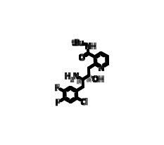 CC(C)(C)NC(=O)c1cccnc1C[C@H](O)[C@H](N)Cc1cc(F)c(F)cc1Cl